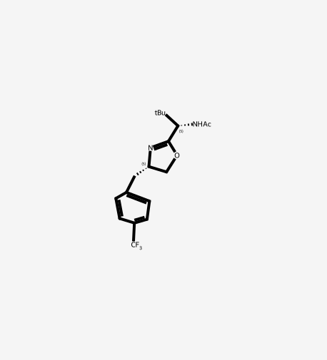 CC(=O)N[C@H](C1=N[C@@H](Cc2ccc(C(F)(F)F)cc2)CO1)C(C)(C)C